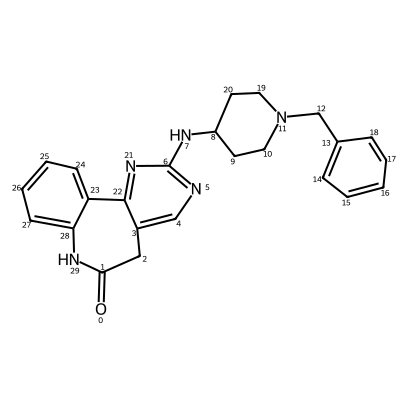 O=C1Cc2cnc(NC3CCN(Cc4ccccc4)CC3)nc2-c2ccccc2N1